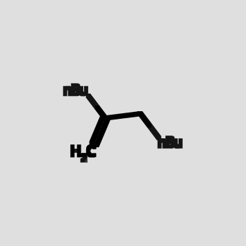 C=C(CCCC)CCCCC